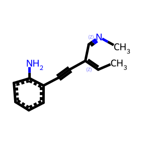 C/C=C(C#Cc1ccccc1N)\C=N/C